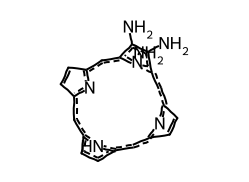 Nc1c(N)c2cc3nc(cc4ccc(cc5nc(cc1n2N)C=C5)[nH]4)C=C3